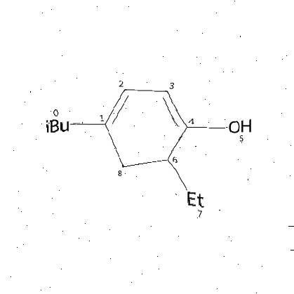 CCC(C)C1=CC=C(O)C(CC)C1